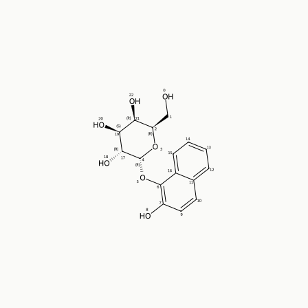 OC[C@H]1O[C@H](Oc2c(O)ccc3ccccc23)[C@H](O)[C@@H](O)[C@H]1O